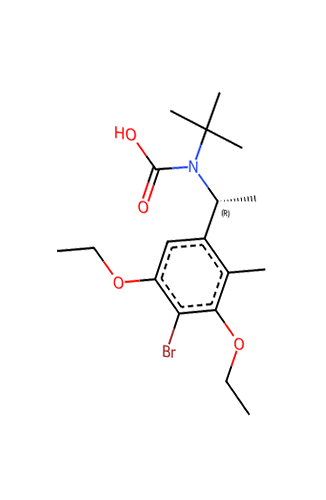 CCOc1cc([C@@H](C)N(C(=O)O)C(C)(C)C)c(C)c(OCC)c1Br